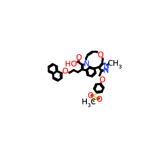 Cn1nc(COc2ccc(S(C)(=O)=O)cc2)c2c1COC/C=C\Cn1c(C(=O)O)c(CCCOc3cccc4ccccc34)c3cccc-2c31